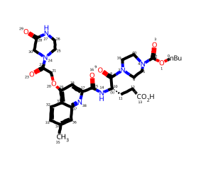 CCCCOC(=O)N1CCN(C(=O)[C@H](CCC(=O)O)NC(=O)c2cc(OCC(=O)N3CCNC(=O)C3)c3ccc(C)cc3n2)CC1